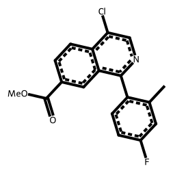 COC(=O)c1ccc2c(Cl)cnc(-c3ccc(F)cc3C)c2c1